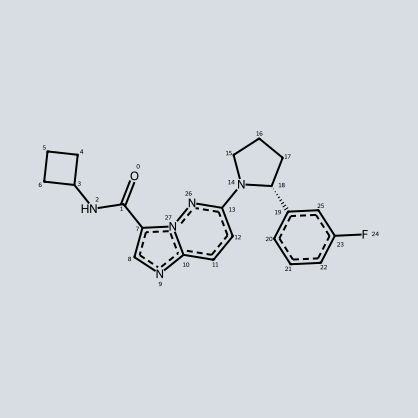 O=C(NC1CCC1)c1cnc2ccc(N3CCC[C@@H]3c3cccc(F)c3)nn12